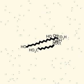 CCCCCCCC/C=C\CCCCCCCC(=O)O.O=C(O)C(O)C(O)C(O)C(O)CCCCCCCCCCCCCO